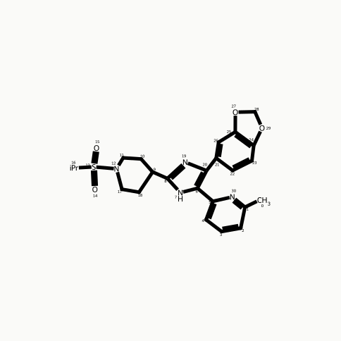 Cc1cccc(-c2[nH]c(C3CCN(S(=O)(=O)C(C)C)CC3)nc2-c2ccc3c(c2)OCO3)n1